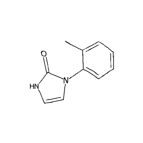 Cc1ccccc1-n1cc[nH]c1=O